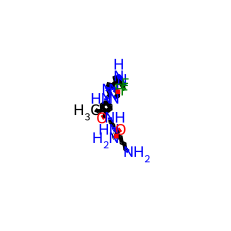 CCc1cc(Nc2nccn3c(-c4c[nH]nc4C(F)(F)F)cnc23)ccc1C(=O)NCCNC(=O)[C@@H](N)CCCCN